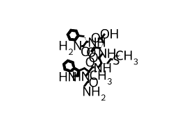 CSCC[C@H](NC(=O)[C@](C)(Cc1c[nH]c2ccccc12)NC(=O)CN)C(=O)N[C@@H](CC(=O)O)C(=O)N[C@@H](Cc1ccccc1)C(N)=O